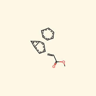 C=CC(=O)OC.c1cc2cc-2c1.c1ccccc1